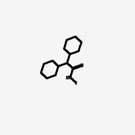 O=C(NI)C(C1CCCCC1)C1CCCCC1